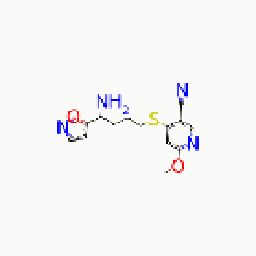 COc1cc(SCCCC(N)c2ccno2)c(C#N)cn1